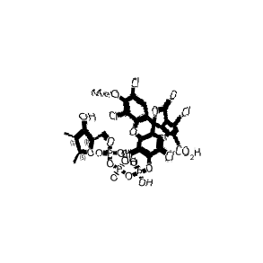 COc1c(Cl)cc2c(c1Cl)Oc1c(cc(Cl)c(OP(=O)(O)OP(=O)(O)OP(=O)(O)OC[C@H]3O[C@@H](C)[C@@H](C)C3O)c1Cl)C21OC(=O)c2c(Cl)cc(C(=O)O)c(Cl)c21